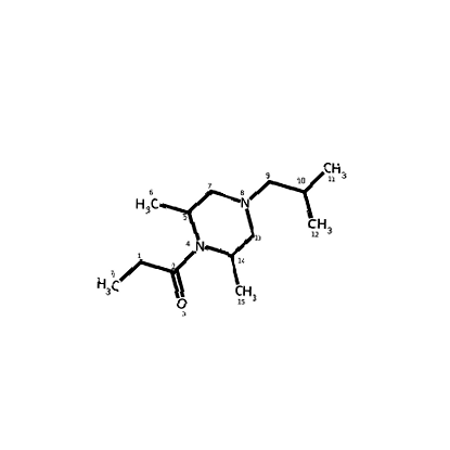 CCC(=O)N1C(C)CN(CC(C)C)CC1C